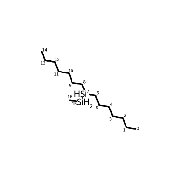 CCCCCCC[SiH](CCCCCCC)[SiH2]C